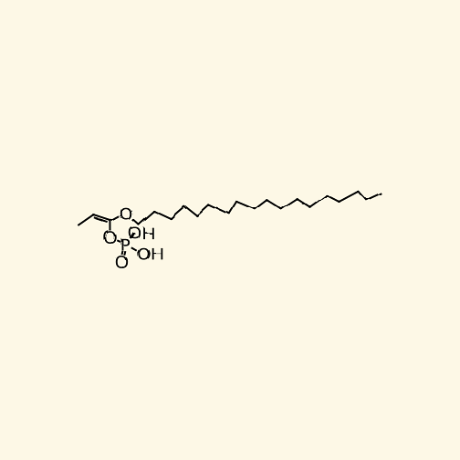 CC=C(OCCCCCCCCCCCCCCCCCC)OP(=O)(O)O